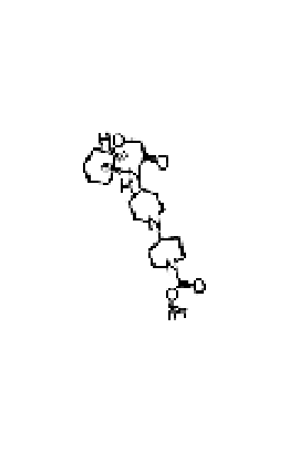 CC(C)OC(=O)N1CCC(N2CCC(N3C(=O)CO[C@H]4CCCC[C@@H]43)CC2)CC1